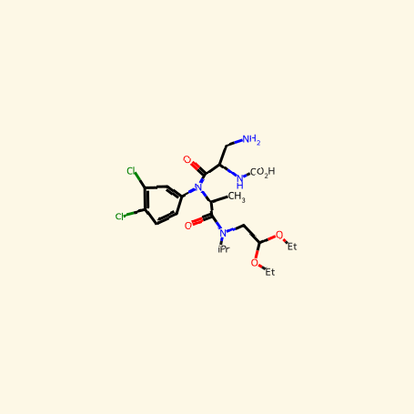 CCOC(CN(C(=O)C(C)N(C(=O)C(CN)NC(=O)O)c1ccc(Cl)c(Cl)c1)C(C)C)OCC